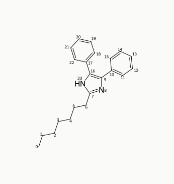 CCCCCCCc1nc(-c2ccccc2)c(-c2ccccc2)[nH]1